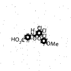 COc1ccc(Oc2cc(Cl)c(Cl)cc2C(=O)Nc2ccc(C(=O)O)cc2)c(Cl)c1